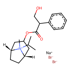 CC(C)[N+]1(C)[C@@H]2CC[C@H]1CC(OC(=O)C(CO)c1ccccc1)C2.[Br-].[Br-].[Na+]